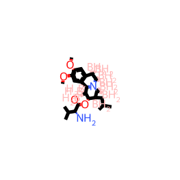 BC1(B)c2cc(OC)c(OC)cc2C2(B)N(C1(B)B)C(B)(B)C(B)(CC(C)C)C(OC(=O)[C@@H](N)C(C)C)C2(B)B